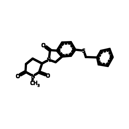 CN1C(=O)CCC(N2Cc3cc(SCc4ccccc4)ccc3C2=O)C1=O